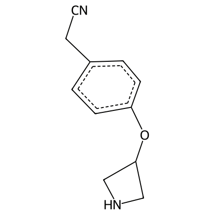 N#CCc1ccc(OC2CNC2)cc1